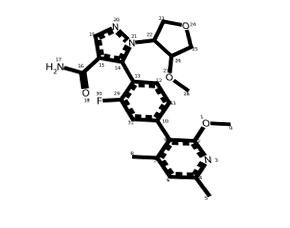 COc1nc(C)cc(C)c1-c1ccc(-c2c(C(N)=O)cnn2C2COCC2OC)c(F)c1